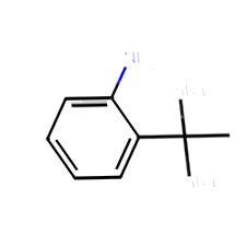 CCCCC(C)(CCCC)c1ccccc1N